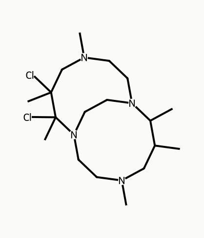 CC1CN(C)CCN2CCN(CCN(C)CC(C)(Cl)C2(C)Cl)C1C